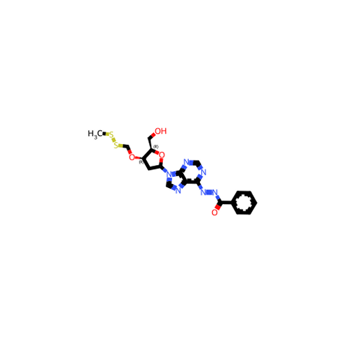 CSSCO[C@@H]1CC(n2cnc3c(N=NC(=O)c4ccccc4)ncnc32)O[C@@H]1CO